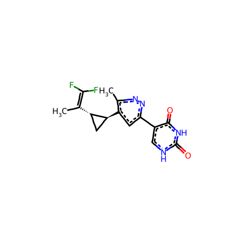 CC(=C(F)F)[C@H]1C[C@@H]1c1cc(-c2c[nH]c(=O)[nH]c2=O)nnc1C